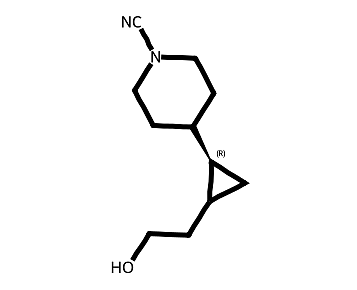 N#CN1CCC([C@H]2CC2CCO)CC1